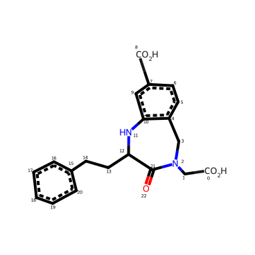 O=C(O)CN1Cc2ccc(C(=O)O)cc2NC(CCc2ccccc2)C1=O